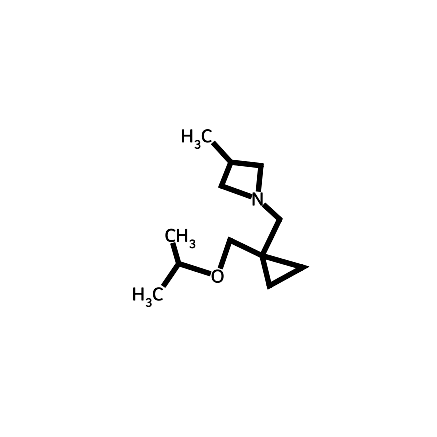 CC1CN(CC2(COC(C)C)CC2)C1